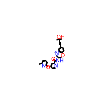 Cc1cccc(Oc2ccnc(C(=O)N[C@H]3COc4ccc(C#CC(C)(C)O)cc4N(C)C3)c2)n1